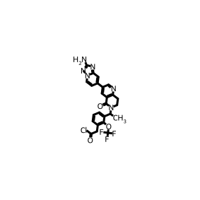 CC(c1cccc(CC(=O)Cl)c1OC(F)(F)F)N1CCc2ncc(-c3ccn4nc(N)nc4c3)cc2C1=O